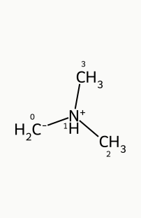 [CH2-][NH+](C)C